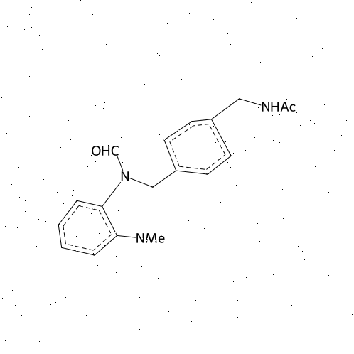 CNc1ccccc1N(C=O)Cc1ccc(CNC(C)=O)cc1